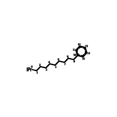 CC(C)CCCCCCCCCc1ccccc1